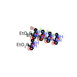 CCOC(=O)CCc1c(C=C2C(=O)Nc3ccc(Br)cc32)[nH]c2c1C(=O)CCC2.CCOC(=O)CCc1c(C=C2C(=O)Nc3ccc(F)cc32)[nH]c2c1C(=O)CCC2.CCOC(=O)CCc1c(C=C2C(=O)Nc3ccccc32)[nH]c2c1C(=O)CCC2.O=C(O)CCc1c(C=C2C(=O)Nc3ccc(F)cc32)[nH]c2c1C(=O)CCC2.O=C(O)CCc1c(C=C2C(=O)Nc3ccccc32)[nH]c2c1C(=O)CCC2